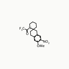 COc1cc2c(cc1[N+](=O)[O-])CC1(CCCCN1C(=O)C(F)(F)F)CC2